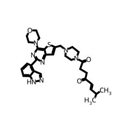 CC(C)/C=C/C(=O)CCC(=O)N1CCN(Cc2cc3nc(-c4cccc5[nH]ncc45)nc(N4CCOCC4)c3s2)CC1